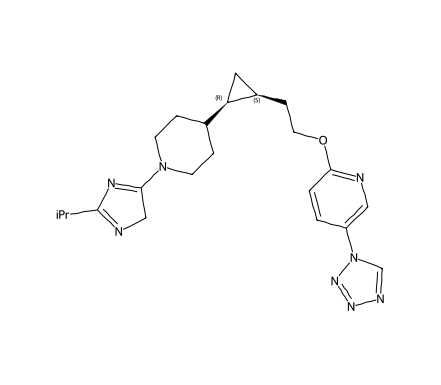 CC(C)C1=NCC(N2CCC([C@H]3C[C@H]3CCOc3ccc(-n4cnnn4)cn3)CC2)=N1